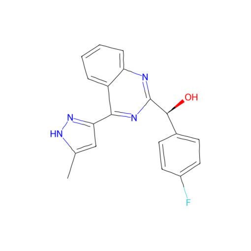 Cc1cc(-c2nc([C@@H](O)c3ccc(F)cc3)nc3ccccc23)n[nH]1